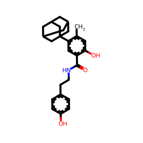 Cc1cc(O)c(C(=O)NCCc2ccc(O)cc2)cc1C12CC3CC(CC(C3)C1)C2